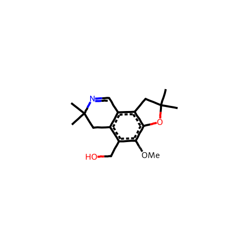 COc1c(CO)c2c(c3c1OC(C)(C)C3)C=NC(C)(C)C2